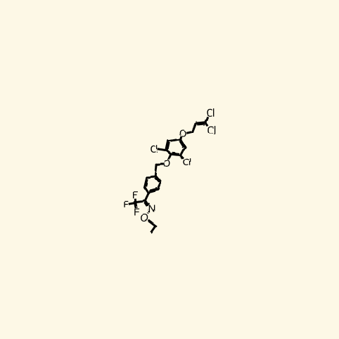 CCON=C(c1ccc(COc2c(Cl)cc(OCC=C(Cl)Cl)cc2Cl)cc1)C(F)(F)F